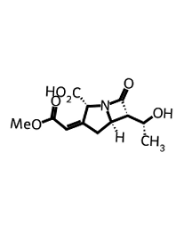 COC(=O)C=C1C[C@@H]2[C@@H]([C@@H](C)O)C(=O)N2[C@H]1C(=O)O